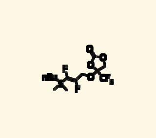 CCCCS(C)(C)/C(F)=C(\F)COC1(C(F)(F)F)COC(=O)O1